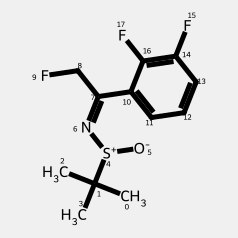 CC(C)(C)[S+]([O-])/N=C(/CF)c1cccc(F)c1F